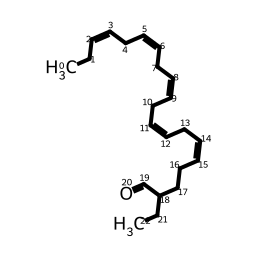 CC/C=C\C/C=C\C/C=C\C/C=C\C/C=C\CCC(C=O)CC